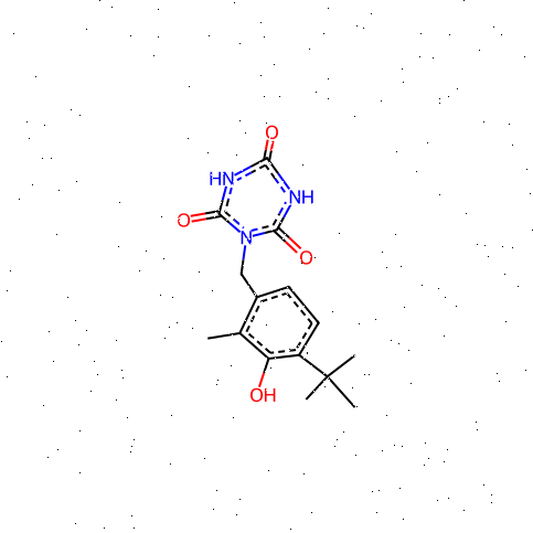 Cc1c(Cn2c(=O)[nH]c(=O)[nH]c2=O)ccc(C(C)(C)C)c1O